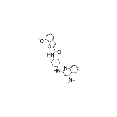 COc1cccc2cc(C(=O)NC3CCC(Nc4cc(N(C)C)c5ccccc5n4)CC3)oc12